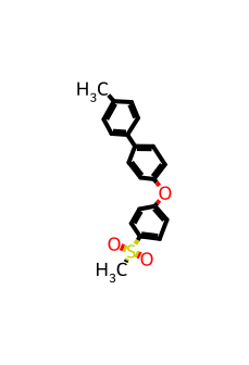 Cc1ccc(-c2ccc(Oc3ccc(S(C)(=O)=O)cc3)cc2)cc1